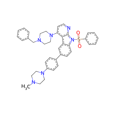 CN1CCN(c2ccc(-c3ccc4c(c3)c3c(N5CCN(Cc6ccccc6)CC5)ccnc3n4S(=O)(=O)c3ccccc3)cc2)CC1